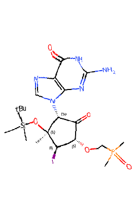 CC(C)(C)[Si](C)(C)O[C@]1(C)[C@H](I)[C@@H](OCP(C)(C)=O)C(=O)[C@H]1n1cnc2c(=O)[nH]c(N)nc21